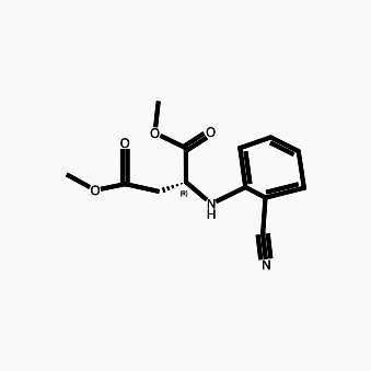 COC(=O)C[C@@H](Nc1ccccc1C#N)C(=O)OC